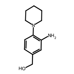 Nc1cc(CO)ccc1N1CCCCC1